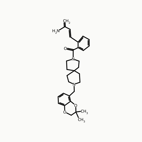 C=C(N)/C=C/c1ccccc1C(=O)N1CCC2(CCN(Cc3cccc4c3OC(C)(C)CO4)CC2)CC1